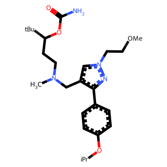 COCCn1cc(CN(C)CCC(OC(N)=O)C(C)(C)C)c(-c2ccc(OC(C)C)cc2)n1